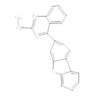 NNc1nc(-c2ccc3c(c2)oc2ccccc23)c2ccccc2n1